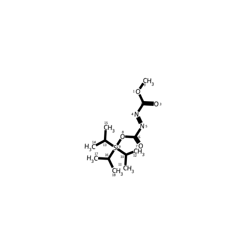 COC(=O)N=NC(=O)O[Si](C(C)C)(C(C)C)C(C)C